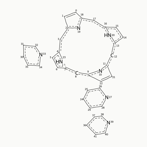 C1=Cc2cc3ccc(cc4nc(cc5ccc(cc1n2)[nH]5)C=C4)[nH]3.c1ccncc1.c1ccncc1.c1ccncc1